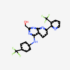 OCc1nc(Nc2ccc(C(F)(F)F)cc2)c2ccc(-c3ncccc3C(F)(F)F)nc2n1